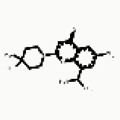 Cc1cc(C(C)N)c2oc(N3CCC(C)(C)CC3)cc(=O)c2c1